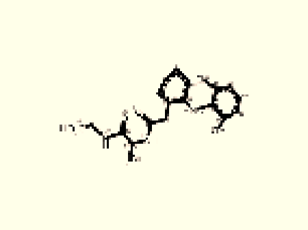 CCC(C)[C@H](NC(=O)Cc1ccccc1Nc1c(Cl)cccc1Cl)C(=O)NCC(=O)O